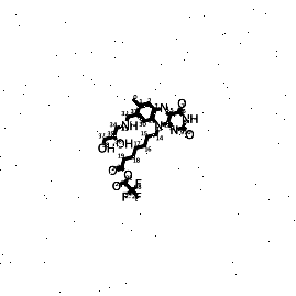 Cc1cc2nc3c(=O)[nH]c(=O)nc-3n(CCCCCCC(=O)OC(=O)C(F)(F)F)c2cc1CNCC(O)CO